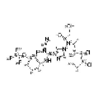 CCN(C(=O)CO)N1CN(/C(=N\C#N)Nc2cccc(OC(F)(F)F)c2F)N=C1c1ccc(Cl)c(Cl)c1